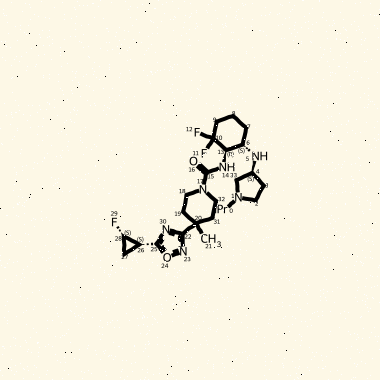 CC(C)N1CC[C@H](N[C@H]2CCCC(F)(F)[C@@H]2NC(=O)N2CCC(C)(c3noc([C@@H]4C[C@@H]4F)n3)CC2)C1